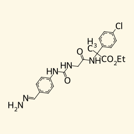 CCOC(=O)C(C)(NC(=O)CNC(=O)Nc1ccc(C=NN)cc1)c1ccc(Cl)cc1